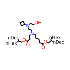 CCCCCCCCCCC(CCCCCC)COC(=O)CCCCN(CCC(=O)OCC(CCCCCC)CCCCCCCCCC)CCN(CCO)C1CCC1